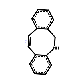 C1=C\c2ccccc2NCc2ccccc2/1